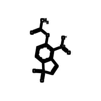 CC(=O)Oc1ccc2c(c1[N+](=O)[O-])C=CS2(=O)=O